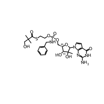 CC(C)(CO)C(=O)SCCOP(=O)(NCc1ccccc1)OC[C@H]1OC(n2ccc3c(=O)[nH]c(N)nc32)C(C)(O)[C@H]1O